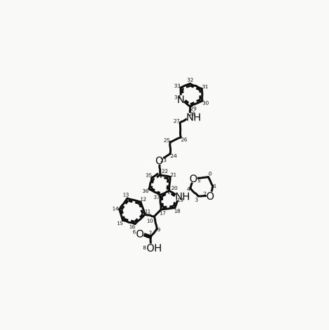 C1COCCO1.O=C(O)CC(c1ccccc1)c1c[nH]c2cc(OCCCCNc3ccccn3)ccc12